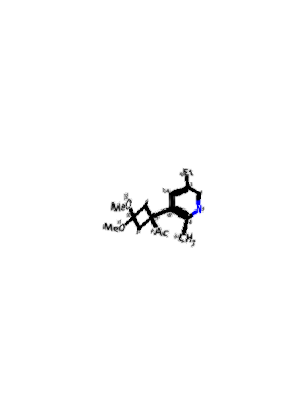 CCc1cnc(C)c(C2(C(C)=O)CC(OC)(OC)C2)c1